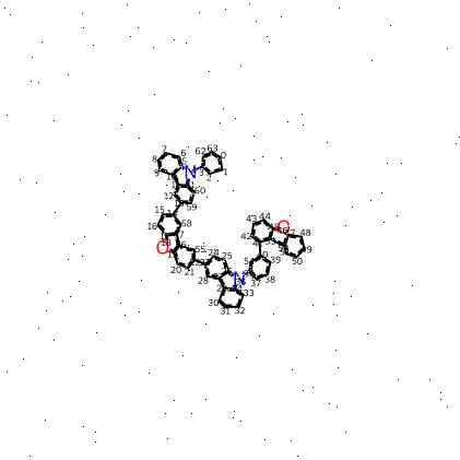 c1ccc(-n2c3ccccc3c3cc(-c4ccc5oc6ccc(-c7ccc8c(c7)c7ccccc7n8-c7cccc(-c8cccc9oc%10ccccc%10c89)c7)cc6c5c4)ccc32)cc1